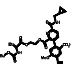 C=Cc1cc(C(=O)O)c(-c2ccc(C(=O)NCC3CC3)nc2C(=O)OCCOC(=O)C(NC(=O)OC(C)(C)C)C(C)CC)cc1OC